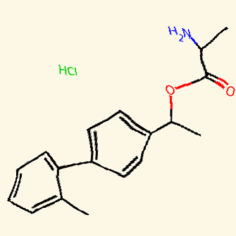 Cc1ccccc1-c1ccc(C(C)OC(=O)C(C)N)cc1.Cl